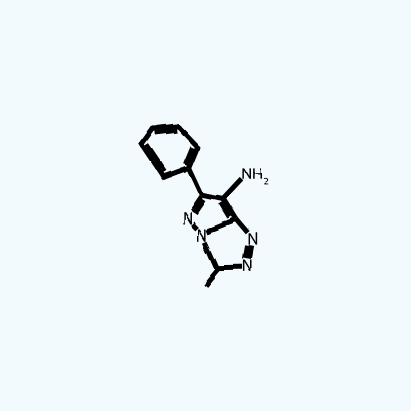 CC1N=Nc2c(N)c(-c3ccccc3)nn21